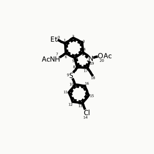 CCc1ccc2c(c1NC(C)=O)c(Sc1ccc(Cl)cc1)c(C)n2OC(C)=O